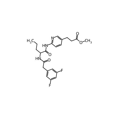 CCCC(NC(=O)Cc1cc(F)cc(F)c1)C(=O)Nc1ccc(CCC(=O)OC)cn1